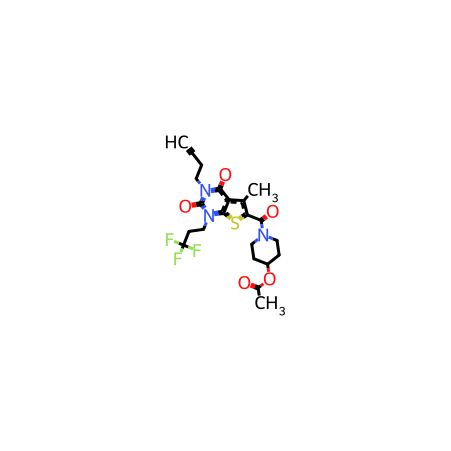 C#CCCn1c(=O)c2c(C)c(C(=O)N3CCC(OC(C)=O)CC3)sc2n(CCC(F)(F)F)c1=O